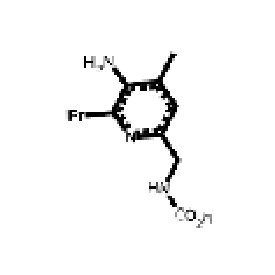 Cc1cc(CNC(=O)O)nc(C(C)C)c1N